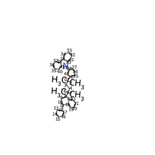 CC(C)(CCC(C)(C)c1ccc(-c2ccccc2)c2ccccc12)c1cccc(-n2c3ccccc3c3ccccc32)c1